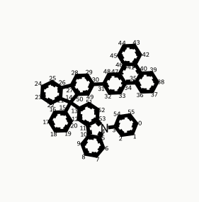 c1ccc(-n2c3ccccc3c3cc(C4(c5ccccc5)c5ccccc5-c5ccc(-c6ccc7c8ccccc8c8ccccc8c7c6)cc54)ccc32)cc1